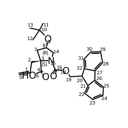 C=CC[C@@]1(C(=O)O)C[C@@H](OC(C)(C)C)CN1C(=O)OCC1c2ccccc2-c2ccccc21